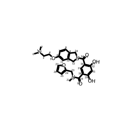 CN(C)CCOc1ccc2c(c1)CN(C(=O)c1cc(C(=O)N(C)Cc3ccco3)c(O)cc1O)C2